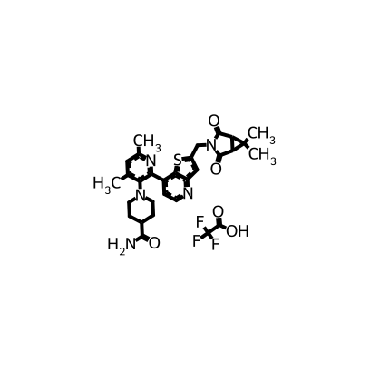 Cc1cc(C)c(N2CCC(C(N)=O)CC2)c(-c2ccnc3cc(CN4C(=O)C5C(C4=O)C5(C)C)sc23)n1.O=C(O)C(F)(F)F